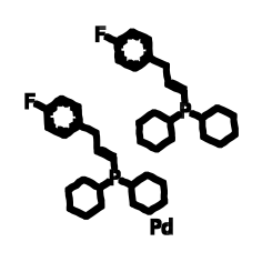 Fc1ccc(CC=CP(C2CCCCC2)C2CCCCC2)cc1.Fc1ccc(CC=CP(C2CCCCC2)C2CCCCC2)cc1.[Pd]